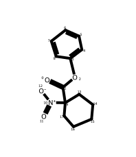 O=C(Oc1ccccc1)C1([N+](=O)[O-])CCCCC1